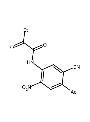 CCC(=O)C(=O)Nc1cc(C#N)c(C(C)=O)cc1[N+](=O)[O-]